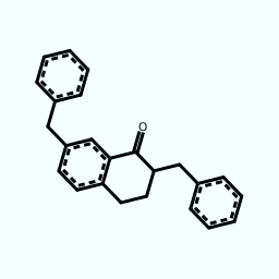 O=C1c2cc(Cc3ccccc3)ccc2CCC1Cc1ccccc1